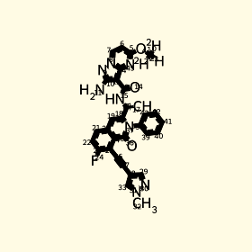 [2H]C([2H])([2H])Oc1ccn2nc(N)c(C(=O)N[C@@H](C)c3cc4ccc(F)c(C#Cc5cnn(C)c5)c4c(=O)n3-c3ccccc3)c2n1